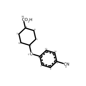 N#Cc1ccc(OC2CCC(C(=O)O)CC2)cc1